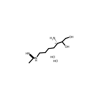 CC(=N)NCCCC[C@H](N)C(O)CO.Cl.Cl